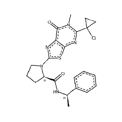 C[C@@H](NC(=O)[C@H]1CCCN1c1nc2c(=O)n(C)c(C3(Cl)CC3)nc2s1)c1ccccc1